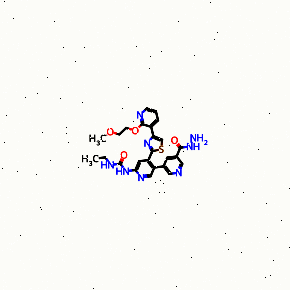 CCNC(=O)Nc1cc(-c2nc(-c3cccnc3OCCOC)cs2)c(-c2cncc(C(=O)NN)c2)cn1